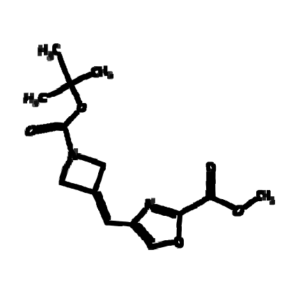 COC(=O)c1nc(C=C2CN(C(=O)OC(C)(C)C)C2)co1